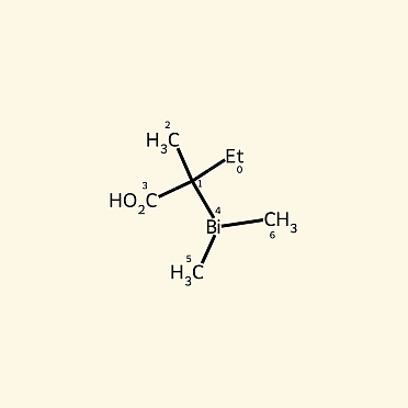 CC[C](C)(C(=O)O)[Bi]([CH3])[CH3]